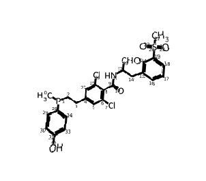 CP(CCc1cc(Cl)c(C(=O)NC(C=O)Cc2cccc(S(C)(=O)=O)c2)c(Cl)c1)c1ccc(O)cc1